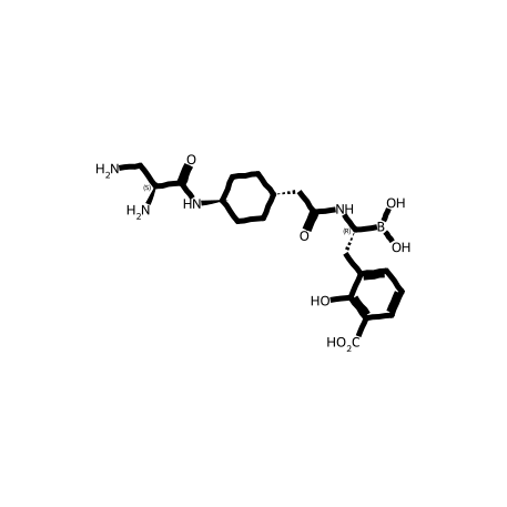 NC[C@H](N)C(=O)N[C@H]1CC[C@H](CC(=O)N[C@@H](Cc2cccc(C(=O)O)c2O)B(O)O)CC1